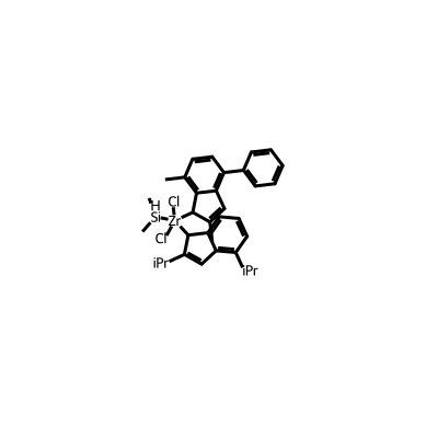 CC1=Cc2c(-c3ccccc3)ccc(C)c2[CH]1[Zr]([Cl])([Cl])([CH]1C(C(C)C)=Cc2c(C(C)C)cccc21)[SiH](C)C